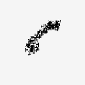 COC(=O)N[C@H](c1ccccc1)C(O)N1CCC[C@H]1c1nc2ccc(-c3ccc4cc(-c5ccc6nc([C@@H]7CCCN7C(=O)[C@H](NC(=O)OC)c7ccccc7)[nH]c6c5)ccc4c3)cc2[nH]1